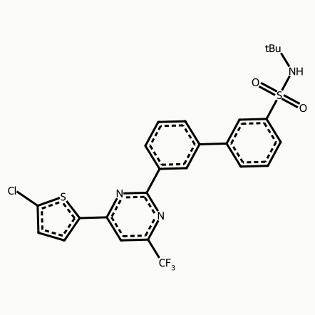 CC(C)(C)NS(=O)(=O)c1cccc(-c2cccc(-c3nc(-c4ccc(Cl)s4)cc(C(F)(F)F)n3)c2)c1